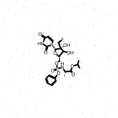 CC(C)OC(=O)[C@H](C)NP(=O)(OC[C@H]1O[C@@H](n2ccc(=O)[nH]c2=O)[C@@](O)(CF)C1O)Oc1ccccc1